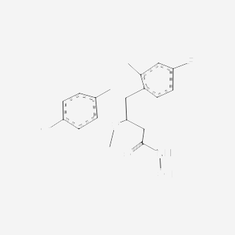 COC(CC(=O)NO)[C@H](Cc1ccc(Cl)cc1)c1ccc(F)cc1F